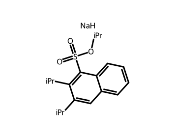 CC(C)OS(=O)(=O)c1c(C(C)C)c(C(C)C)cc2ccccc12.[NaH]